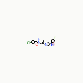 C=C1[C@H](CNC(=O)Cc2ccc(Cl)cc2)[C@H]1CN1CCC(c2noc3cc(F)ccc23)CC1